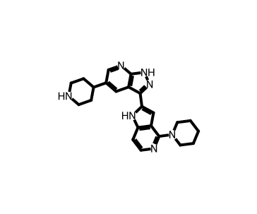 c1cc2[nH]c(-c3n[nH]c4ncc(C5CCNCC5)cc34)cc2c(N2CCCCC2)n1